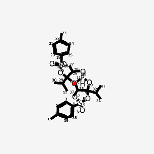 Cc1ccc(S(=O)(=O)OC(O[PH](=O)OC(OS(=O)(=O)c2ccc(C)cc2)(C(C)C)C(C)C)(C(C)C)C(C)C)cc1